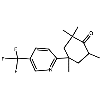 CC1CC(C)(c2ccc(C(F)(F)F)cn2)CC(C)(C)C1=O